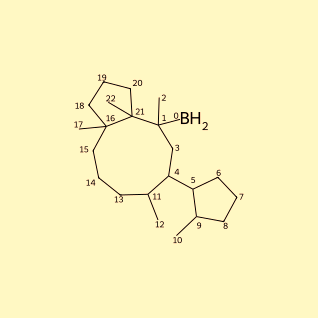 BC1(C)CC(C2CCCC2C)C(C)CCCC2(C)CCCC12C